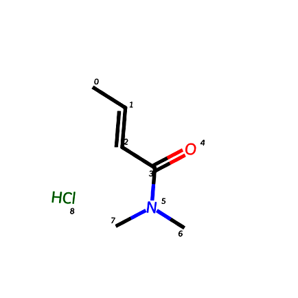 CC=CC(=O)N(C)C.Cl